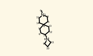 CN1CCC2(CCC(N3CCC3)CC2)CC1